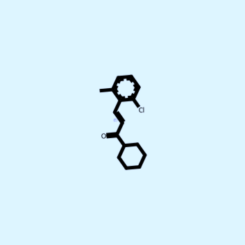 Cc1cccc(Cl)c1/C=C/C(=O)C1CCCCC1